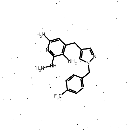 NNc1nc(N)cc(Cc2cnn(Cc3ccc(C(F)(F)F)cc3)c2)c1N